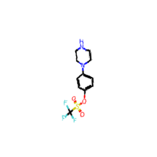 O=S(=O)(Oc1ccc(N2CCNCC2)cc1)C(F)(F)F